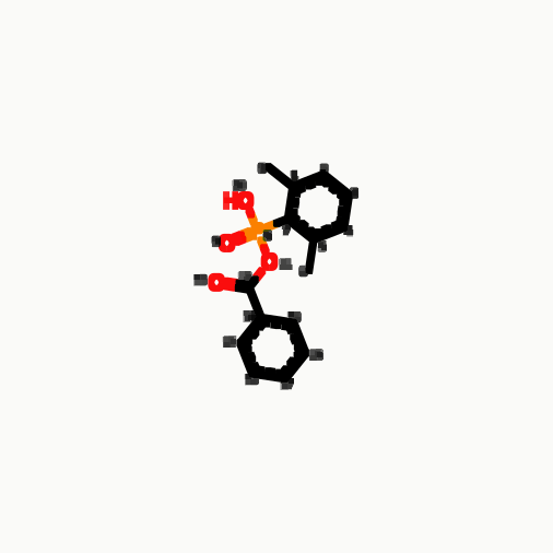 Cc1cccc(C)c1P(=O)(O)OC(=O)c1ccccc1